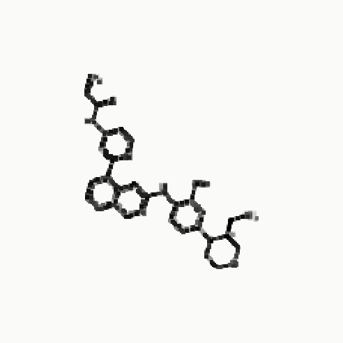 C=CC(=O)Nc1ccnc(-c2cccc3cnc(Nc4ccc(N5CCOC[C@@H]5CN)nc4OC)nc23)c1